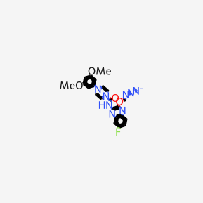 COc1cc(OC)cc(N2CCN(C(=O)Nc3nc4cc(F)ccc4nc3OCN=[N+]=[N-])CC2)c1